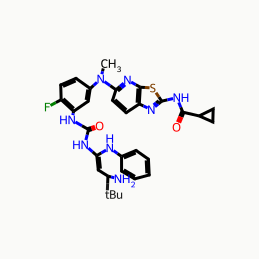 CN(c1ccc(F)c(NC(=O)N/C(=C/C(N)C(C)(C)C)Nc2ccccc2)c1)c1ccc2nc(NC(=O)C3CC3)sc2n1